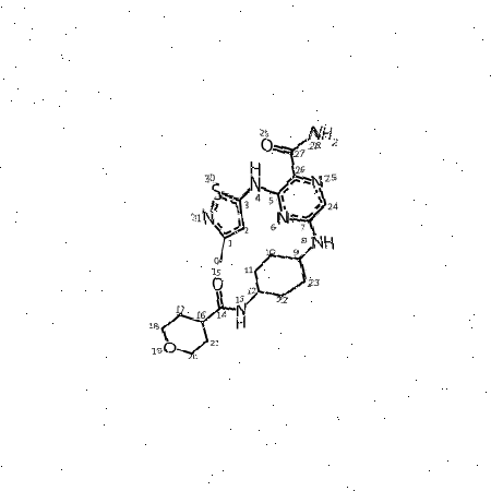 Cc1cc(Nc2nc(NC3CCC(NC(=O)C4CCOCC4)CC3)cnc2C(N)=O)sn1